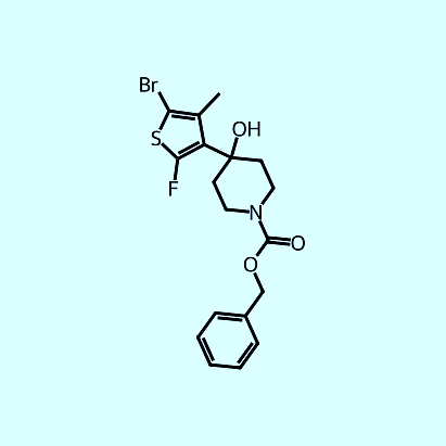 Cc1c(Br)sc(F)c1C1(O)CCN(C(=O)OCc2ccccc2)CC1